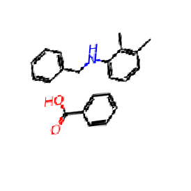 Cc1cccc(NCc2ccccc2)c1C.O=C(O)c1ccccc1